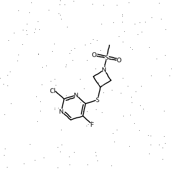 CS(=O)(=O)N1CC(Sc2nc(Cl)ncc2F)C1